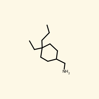 CCCC1(CC)CCC(CN)CC1